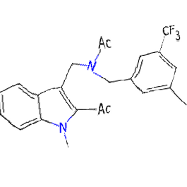 CC(=O)c1c(CN(Cc2cc(C)cc(C(F)(F)F)c2)C(C)=O)c2ccccc2n1C